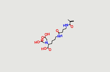 C=C(C)C(=O)NCCCC(=O)NCCCCC(C(=O)O)N(CC(=O)O)CC(=O)O